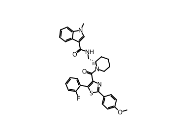 COc1ccc(-c2nc(C(=O)N3CCCC[C@H]3CNC(=O)c3cn(C)c4ccccc34)c(-c3ccccc3F)s2)cc1